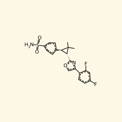 CC1(C)[C@H](c2ccc(S(N)(=O)=O)cc2)[C@H]1c1nc(-c2ccc(F)cc2F)co1